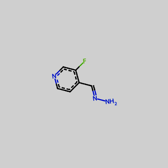 NN=Cc1ccncc1F